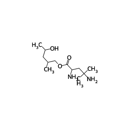 CC(O)CC(C)COC(=O)C(N)CC(C)(C)N